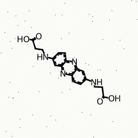 O=C(O)CCNc1ccc2nc3cc(NCCC(=O)O)ccc3nc2c1